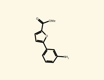 COC(=O)c1ccc(-c2cccc(N)c2)o1